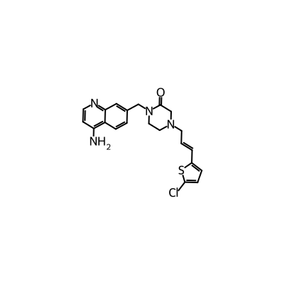 Nc1ccnc2cc(CN3CCN(CC=Cc4ccc(Cl)s4)CC3=O)ccc12